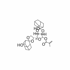 C=C(C)C(=O)OC1O[C@H](C2COC3(O2)C2CC4CC(C2)C(O)C3C4)[C@@H]2OC3(O[C@H]12)C1CC2CC(C1)C(O)C3C2